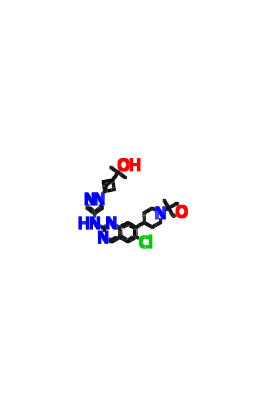 CC1(N2CCC(c3cc4nc(Nc5cnn(C67CC(C(C)(C)O)(C6)C7)c5)ncc4cc3Cl)CC2)COC1